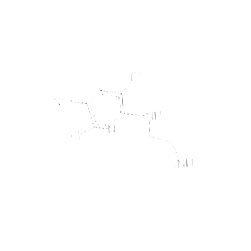 N#Cc1cc(F)c(NCCN)nc1Cl